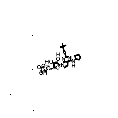 CC(C)(C)C#Cc1nc(NC2CCCC2)c2ccn([C@@H]3O[C@H](COCP(=O)(O)O)[C@@H](O)[C@H]3O)c2n1